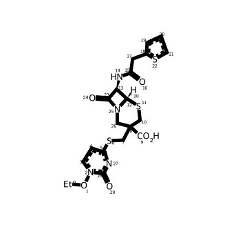 CCOn1ccc(SCC2(C(=O)O)CS[C@@H]3[C@H](NC(=O)Cc4cccs4)C(=O)N3C2)nc1=O